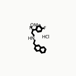 CO/N=C(/CCNCCc1ccc2ccccc2c1)c1ccc(F)cc1.Cl